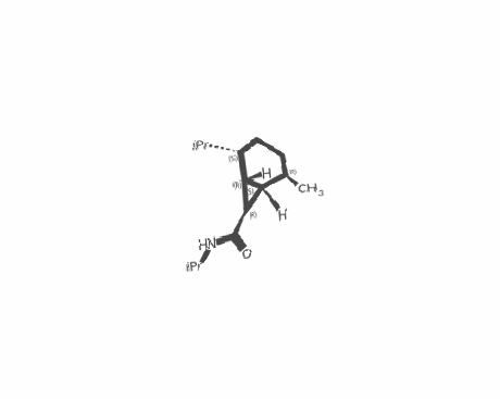 CC(C)NC(=O)[C@@H]1[C@@H]2[C@H]1[C@H](C(C)C)CC[C@H]2C